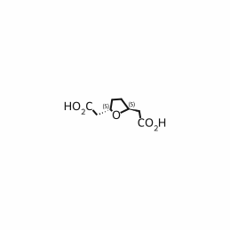 O=C(O)C[C@@H]1CC[C@@H](CC(=O)O)O1